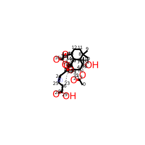 CC(=O)O[C@H]1[C@@H](O)[C@H]2C(C)(C)CC[C@H]3OC(=O)O[C@@]4(C(=O)C[C@](C)(/C=C\CC(=O)O)O[C@]14C)[C@@]32C